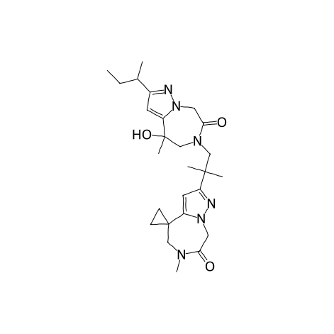 CCC(C)c1cc2n(n1)CC(=O)N(CC(C)(C)c1cc3n(n1)CC(=O)N(C)CC31CC1)CC2(C)O